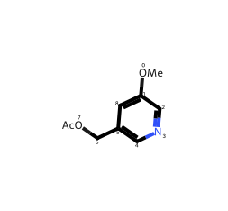 COc1cncc(COC(C)=O)c1